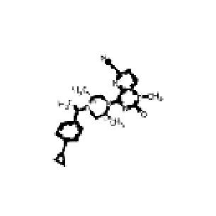 CC(c1ccc(C2CC2)cc1)N1C[C@H](C)N(c2nc(=O)n(C)c3ccc(C#N)nc23)C[C@H]1C